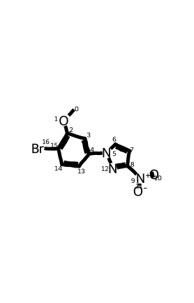 COc1cc(-n2ccc([N+](=O)[O-])n2)ccc1Br